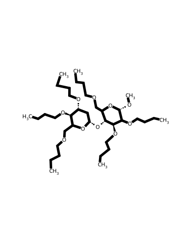 CCCCOCC1O[C@H](OC)C(OCCCC)[C@@H](OCCCC)[C@@H]1O[C@H]1C[C@@H](OCCCC)[C@H](OCCCC)C(COCCCC)O1